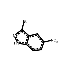 CCc1n[nH]c2ccc([N+](=O)[O-])cc12